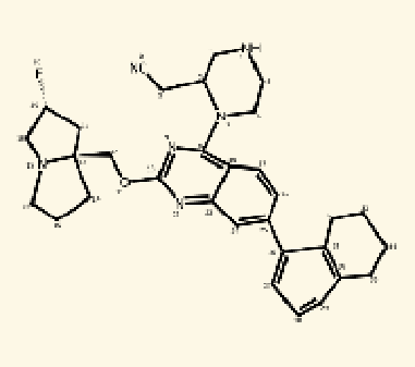 N#CCC1CNCCN1c1nc(OC[C@@]23CCCN2C[C@H](F)C3)nc2cc(-c3cccc4c3CCCC4)ccc12